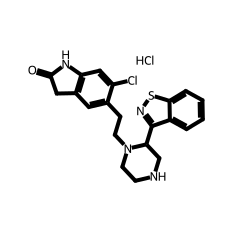 Cl.O=C1Cc2cc(CCN3CCNCC3c3nsc4ccccc34)c(Cl)cc2N1